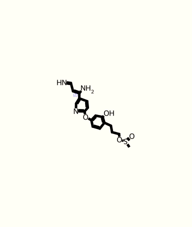 CS(=O)OCCCc1ccc(Oc2ccc(/C(N)=C/C=N)cn2)cc1O